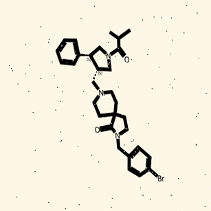 CC(C)C(=O)N1C[C@H](CN2CCC3(CC2)CCN(Cc2ccc(Br)cc2)C3=O)[C@@H](c2ccccc2)C1